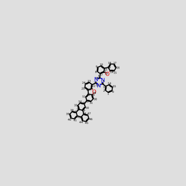 c1ccc(-c2nc(-c3cccc4c3oc3ccccc34)nc(-c3cccc4c3oc3ccc(-c5ccc6c7ccccc7c7ccccc7c6c5)cc34)n2)cc1